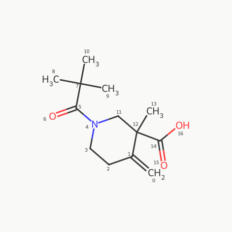 C=C1CCN(C(=O)C(C)(C)C)CC1(C)C(=O)O